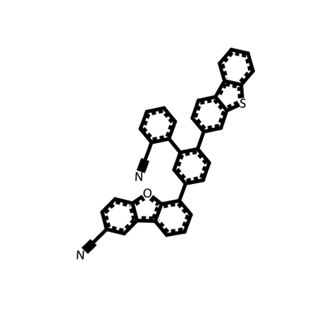 N#Cc1ccc2oc3c(-c4ccc(-c5ccc6c(c5)sc5ccccc56)c(-c5ccccc5C#N)c4)cccc3c2c1